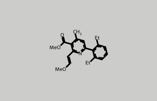 CCc1cccc(CC)c1-c1cc(C)c(C(=O)OC)c(C=COC)n1